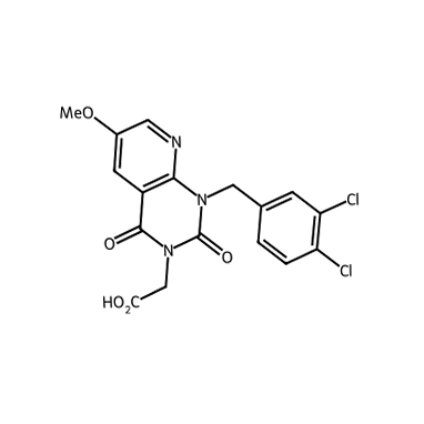 COc1cnc2c(c1)c(=O)n(CC(=O)O)c(=O)n2Cc1ccc(Cl)c(Cl)c1